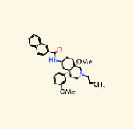 C=CCN1CC[C@@]2(c3cccc(OC)c3)C[C@@H](NC(=O)c3ccc4ccccc4c3)CC[C@]2(OC)C1